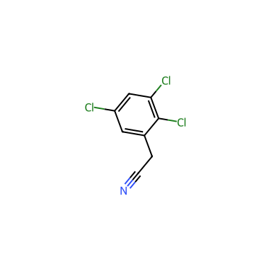 N#CCc1cc(Cl)cc(Cl)c1Cl